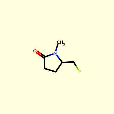 CN1C(=O)CCC1CF